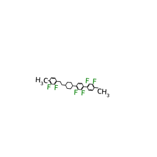 CCc1ccc(-c2ccc(C3CCC(CCc4ccc(C)c(F)c4F)CC3)c(F)c2F)c(F)c1F